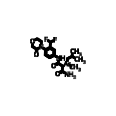 CC(C)C[As](C)C(C(N)=O)C(=O)Nc1ccc(N2CCOCC2=O)c(C(F)F)c1